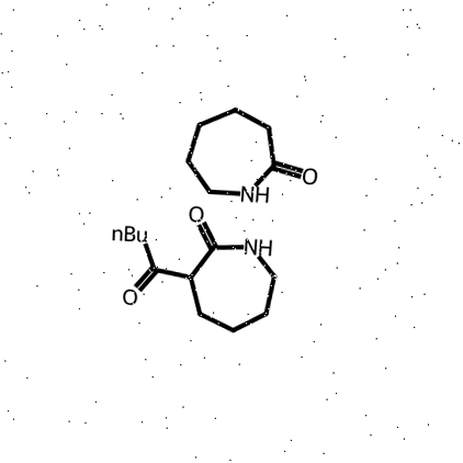 CCCCC(=O)C1CCCCNC1=O.O=C1CCCCCN1